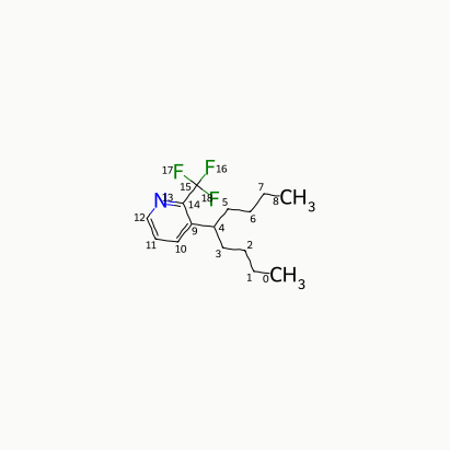 CCCCC(CCCC)c1cccnc1C(F)(F)F